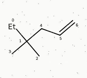 [CH2]CC(C)(C)CC=C